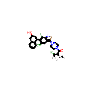 C=C(C(=O)N1CCN(c2snc3c(F)c(-c4cc(O)cc5ccccc45)c(Cl)cc23)CC1)C(C)Br